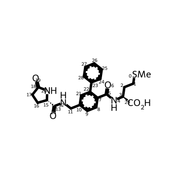 CSCC[C@H](NC(=O)c1ccc(CNC(=O)[C@@H]2CCC(=O)N2)cc1-c1ccccc1)C(=O)O